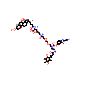 CC1=C(C)C(=O)C(C(C)(C)CC(=O)N(C)CCN(CCOCCOCCC(=O)NCCCCC(NC(=O)CC[C@@H](C)C2CC[C@H]3[C@@H]4[C@H](O)C[C@@H]5C[C@H](O)CC[C@]5(C)[C@H]4CC[C@]23C)C(=O)O)C(=O)Oc2ccc3nc(C#N)sc3c2)=C(C)C1=O